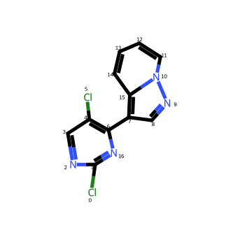 Clc1ncc(Cl)c(-c2cnn3ccccc23)n1